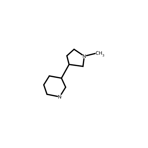 CN1CCC(C2CCC[N]C2)C1